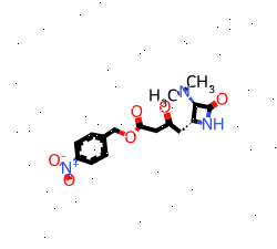 CN(C)[C@H]1C(=O)N[C@@H]1CC(=O)CC(=O)OCc1ccc([N+](=O)[O-])cc1